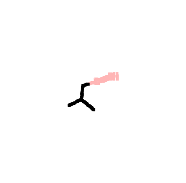 B=BCC(C)C